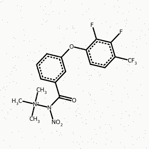 C[N+](C)(C)N(C(=O)c1cccc(Oc2ccc(C(F)(F)F)c(F)c2F)c1)[N+](=O)[O-]